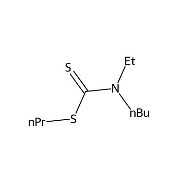 CCCCN(CC)C(=S)SCCC